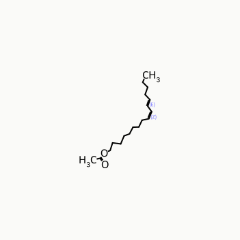 CCCC/C=C/C=C\CCCCCCCCOC(C)=O